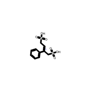 O=S(=O)(O)C/C=C(/CS(=O)(=O)O)c1ccccc1